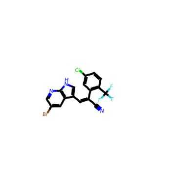 N#C/C(=C/c1c[nH]c2ncc(Br)cc12)c1cc(Cl)ccc1C(F)(F)F